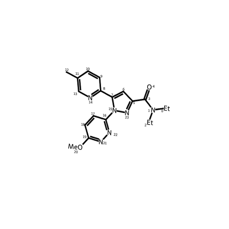 CCN(CC)C(=O)c1cc(-c2ccc(C)cn2)n(-c2ccc(OC)nn2)n1